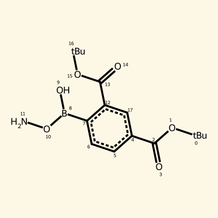 CC(C)(C)OC(=O)c1ccc(B(O)ON)c(C(=O)OC(C)(C)C)c1